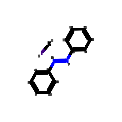 [K][I].c1ccc(/N=N/c2ccccc2)cc1